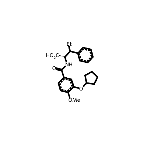 CCC(c1ccccc1)[C@H](NC(=O)c1ccc(OC)c(OC2CCCC2)c1)C(=O)O